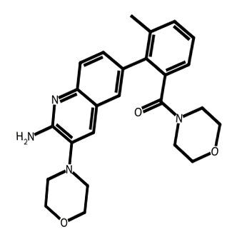 Cc1cccc(C(=O)N2CCOCC2)c1-c1ccc2nc(N)c(N3CCOCC3)cc2c1